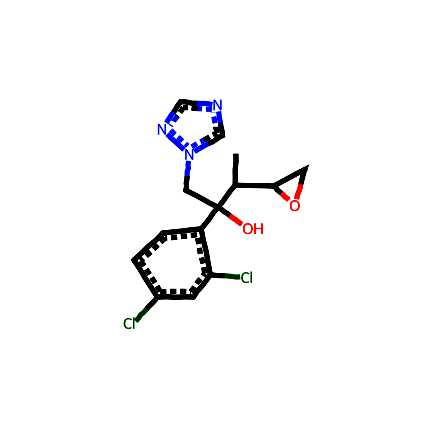 CC(C1CO1)C(O)(Cn1cncn1)c1ccc(Cl)cc1Cl